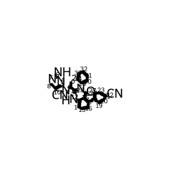 CC(Nc1nc(N)ncc1C#N)c1nc2cccc(-c3ccc(C#N)cc3)c2c(=O)n1-c1ccccc1